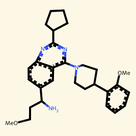 COCCC(N)c1ccc2nc(C3CCCC3)nc(N3CCC(c4ccccc4OC)CC3)c2c1